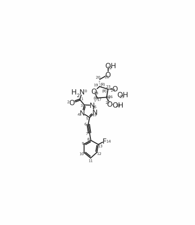 NC(=O)c1nc(C#Cc2ccccc2F)nn1[C@@H]1O[C@H](COO)[C@@H](OO)[C@H]1OO